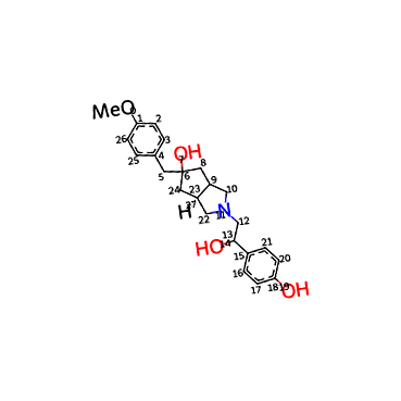 COc1ccc(CC2(O)CC3CN(CC(O)c4ccc(O)cc4)C[C@H]3C2)cc1